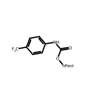 CCCCCOC(=O)Nc1ccc(C(F)(F)F)cc1